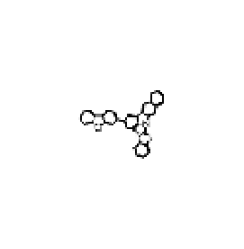 c1ccc2cc3c(cc2c1)c1cc(-c2ccc4c(c2)oc2ccccc24)cc2c1n3c1nc3ccccc3n21